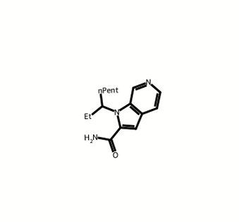 CCCCCC(CC)n1c(C(N)=O)cc2ccncc21